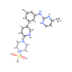 Cc1cc(Nc2nccc(C(F)(F)F)n2)cc(-c2ccc(N3CCN(S(C)(=O)=O)CC3)nc2)c1